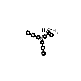 CC1(C)C=C(c2ccc(N(c3ccc(-c4ccc(-c5ccccc5)cc4)cc3)c3ccc(-c4ccc(-c5ccccc5)cc4)cc3)cc2)c2ccccc21